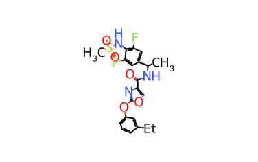 CCc1cccc(Oc2nc(C(=O)NC(C)c3cc(F)c(NS(C)(=O)=O)c(F)c3)co2)c1